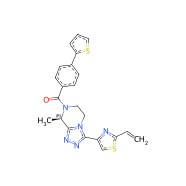 C=Cc1nc(-c2nnc3n2CCN(C(=O)c2ccc(-c4cccs4)cc2)[C@@H]3C)cs1